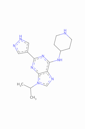 CC(C)n1cnc2c(NC3CCNCC3)nc(-c3cn[nH]c3)nc21